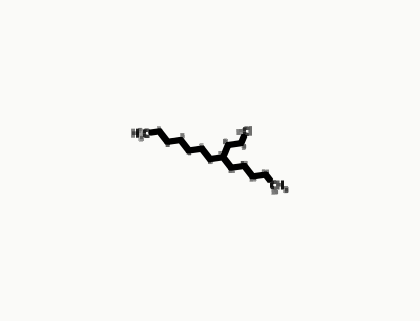 CCCCCCCC(CCCl)CCCCC